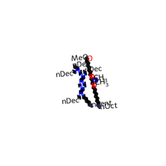 CCCCC/C=C\CCCCCN(CCCCCCCCCCCC)CCN1CCN(CCN(CCCCCCCCCCCC)CCN(CCCCCCCCCCCC)CCCCCCCCCCCC)CC1.CCCCCCCC/C=C\CCCCCCCCOCC(COCCCCCCCC(=O)OC)N(C)C